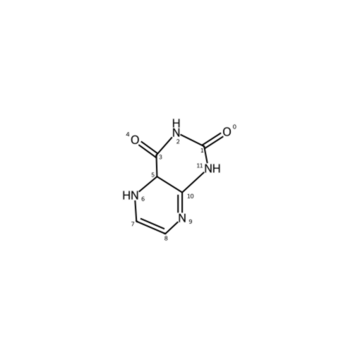 O=C1NC(=O)C2NC=CN=C2N1